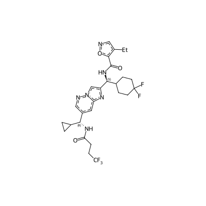 CCc1cnoc1C(=O)N[C@H](c1cn2ncc([C@H](NC(=O)CCC(F)(F)F)C3CC3)cc2n1)C1CCC(F)(F)CC1